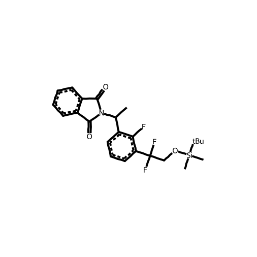 CC(c1cccc(C(F)(F)CO[Si](C)(C)C(C)(C)C)c1F)N1C(=O)c2ccccc2C1=O